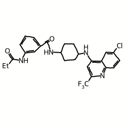 CCC(=O)Nc1cccc(C(=O)NC2CCC(Nc3cc(C(F)(F)F)nc4ccc(Cl)cc34)CC2)c1